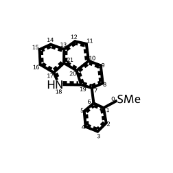 CSc1ccccc1-c1ccc2ccc3cccc4[nH]c1c2c34